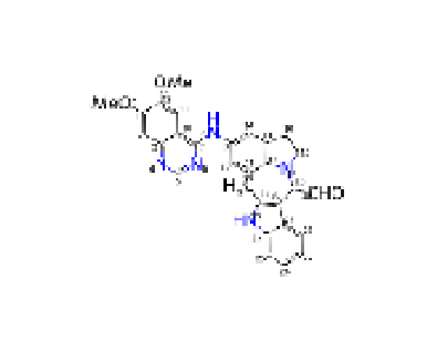 COc1cc2ncnc(Nc3ccc4c(c3)CCN4C(C=O)c3c(C)[nH]c4ccccc34)c2cc1OC